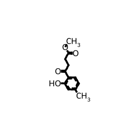 COC(=O)CCC(=O)c1ccc(C)cc1O